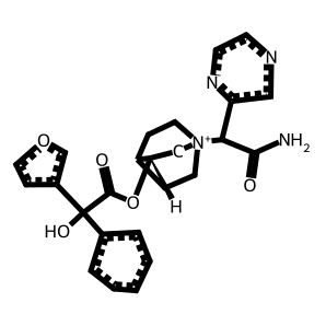 NC(=O)C(c1cnccn1)[N+]12CCC(CC1)[C@@H](OC(=O)C(O)(c1ccccc1)c1ccoc1)C2